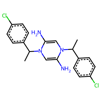 CC(c1ccc(Cl)cc1)N1C=C(N)N(C(C)c2ccc(Cl)cc2)C=C1N